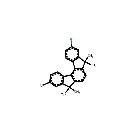 Bc1ccc2c(c1)C(C)(C)c1ccc3c(c1-2)-c1ccc(Br)cc1C3(C)C